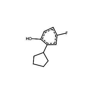 Oc1ccc(F)cc1C1CCCC1